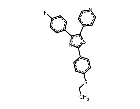 CCSc1ccc(-c2nc(-c3ccc(F)cc3)c(-c3ccncc3)s2)cc1